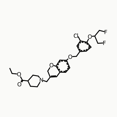 CCOC(=O)C1CCN(CC2=Cc3ccc(OCc4ccc(OC(CF)CF)c(Cl)c4)cc3OC2)CC1